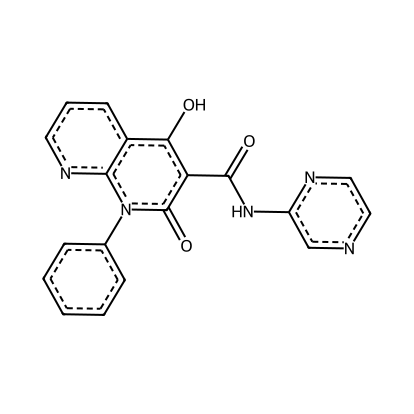 O=C(Nc1cnccn1)c1c(O)c2cccnc2n(-c2ccccc2)c1=O